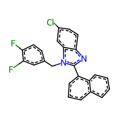 Fc1ccc(Cn2c(-c3cccc4ccccc34)nc3ccc(Cl)cc32)cc1F